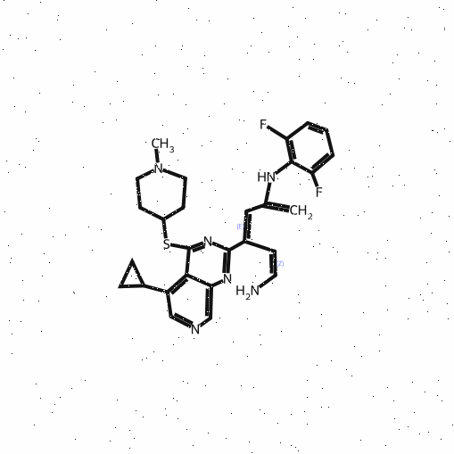 C=C(/C=C(\C=C/N)c1nc(SC2CCN(C)CC2)c2c(C3CC3)cncc2n1)Nc1c(F)cccc1F